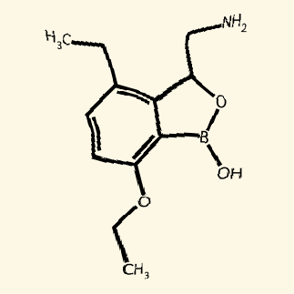 CCOc1ccc(CC)c2c1B(O)OC2CN